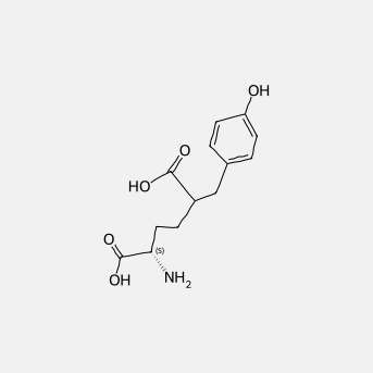 N[C@@H](CCC(Cc1ccc(O)cc1)C(=O)O)C(=O)O